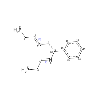 PC/C=N/C[C@@H](/N=C/CP)c1ccccc1